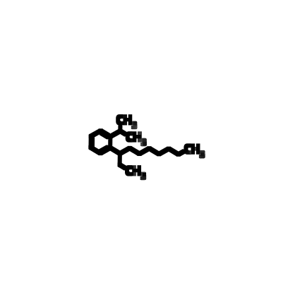 CCCCCCCC(CC)c1ccccc1C(C)C